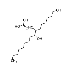 CCCCCCCCC(O)C(O)CCCCCCO.O=C(O)O